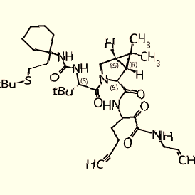 C#CCCC(NC(=O)[C@@H]1[C@@H]2[C@H](CN1C(=O)[C@@H](NC(=O)NC1(CCSC(C)(C)C)CCCCC1)C(C)(C)C)C2(C)C)C(=O)C(=O)NCC=C